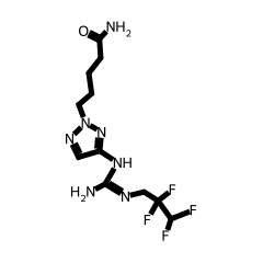 NC(=O)CCCCn1ncc(N/C(N)=N\CC(F)(F)C(F)F)n1